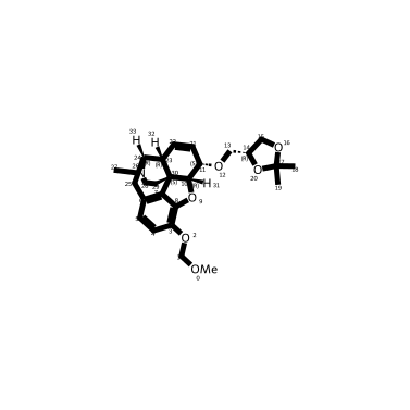 COCOc1ccc2c3c1O[C@H]1[C@@H](OC[C@@H]4COC(C)(C)O4)C=C[C@H]4[C@@H](C2)N(C)CC[C@@]341